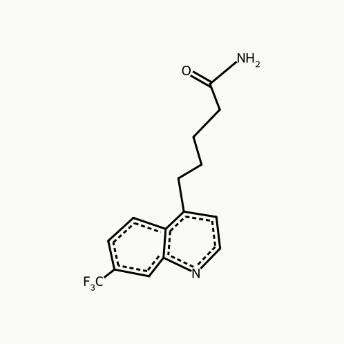 NC(=O)CCCCc1ccnc2cc(C(F)(F)F)ccc12